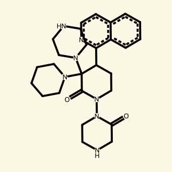 O=C1CNCCN1N1CCC(c2nccc3ccccc23)C(N2CCCCC2)(N2CCNCC2)C1=O